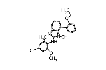 CCOc1ccccc1-c1cccc2nc(Nc3c(C)cc(Cl)cc3OC)n(C)c12